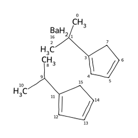 CC(C)C1=CC=CC1.CC(C)C1=CC=CC1.[BaH2]